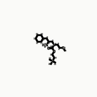 COCCN(CC(N)CC1CCCCC1)C(=O)OCC[Si](C)(C)C